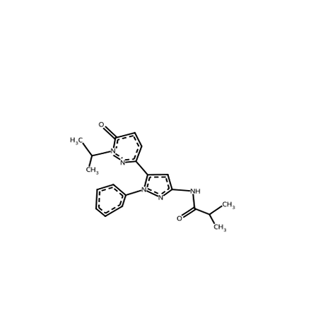 CC(C)C(=O)Nc1cc(-c2ccc(=O)n(C(C)C)n2)n(-c2ccccc2)n1